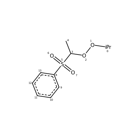 CC(C)OOC(C)S(=O)(=O)c1ccccc1